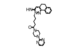 N=c1cc2c(nn1CCCCC(=O)N1CCN(c3ncccn3)CC1)-c1ccccc1CC2